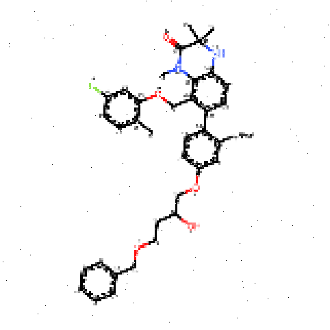 COc1cc(OCC(O)CCOCc2ccccc2)ccc1-c1ccc2c(c1COc1cc(F)ccc1C)N(C)C(=O)C(C)(C)N2